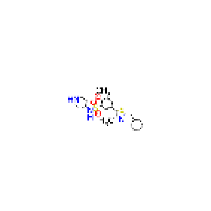 COc1ccc(-c2sc(CC3CCCCC3)nc2C)cc1S(=O)(=O)NC1CCNCC1